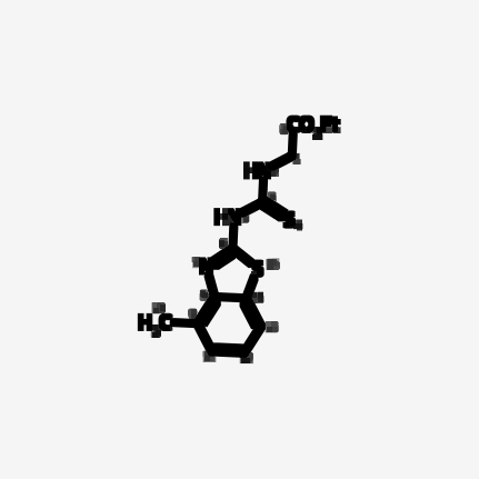 CCOC(=O)CNC(=S)Nc1nc2c(C)cccc2s1